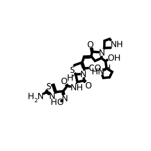 Nc1nc(C(=NO)C(=O)N[C@@H]2C(=O)N3C(C(=O)O)=C(C=C4CC(C(O)C5CCCN5)N(C5CCNC5)C4=O)CS[C@H]23)cs1